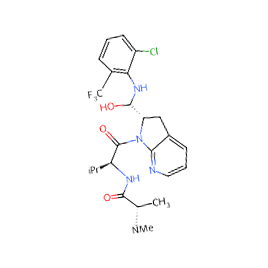 CN[C@@H](C)C(=O)N[C@H](C(=O)N1c2ncccc2C[C@H]1C(O)Nc1c(Cl)cccc1C(F)(F)F)C(C)C